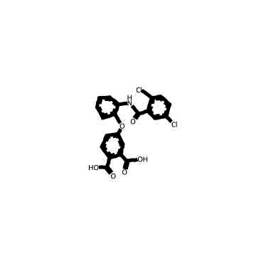 O=C(Nc1ccccc1Oc1ccc(C(=O)O)c(C(=O)O)c1)c1cc(Cl)ccc1Cl